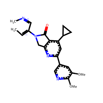 C/C=C(\C=N/C)N1Cc2nc(-c3cnc(OC)c(OC)c3)cc(C3CC3)c2C1=O